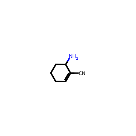 N#CC1=CCCCC1N